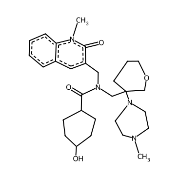 CN1CCN(C2(CN(Cc3cc4ccccc4n(C)c3=O)C(=O)C3CCC(O)CC3)CCCOC2)CC1